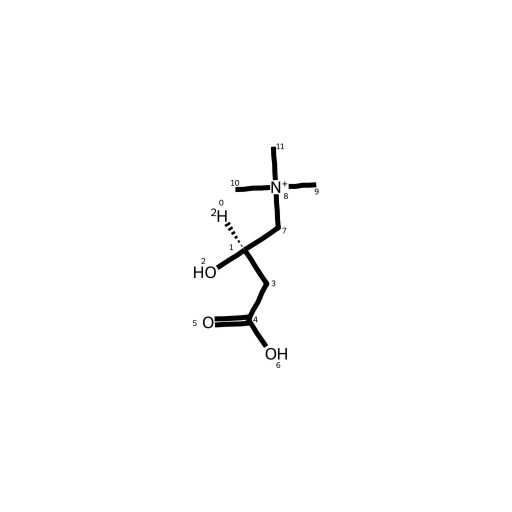 [2H][C@@](O)(CC(=O)O)C[N+](C)(C)C